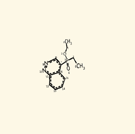 CCOP(=O)(CC)c1cnnc2ccccc12